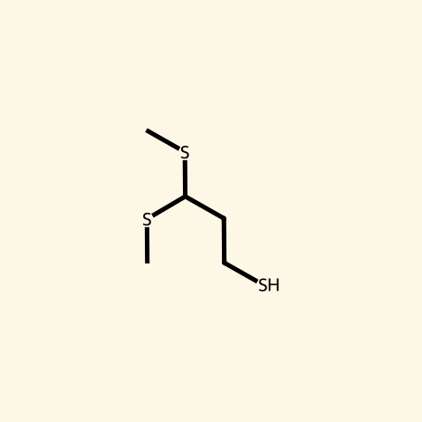 CSC(CCS)SC